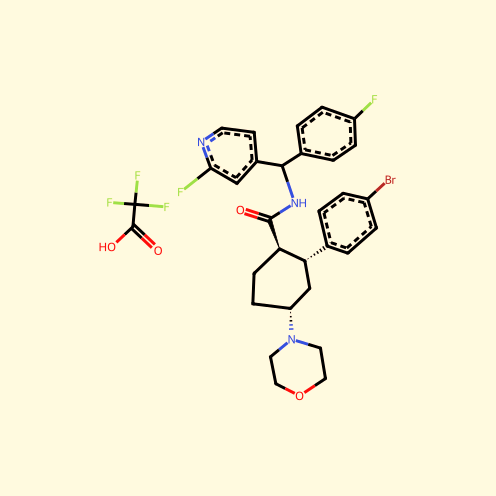 O=C(NC(c1ccc(F)cc1)c1ccnc(F)c1)[C@@H]1CC[C@@H](N2CCOCC2)C[C@H]1c1ccc(Br)cc1.O=C(O)C(F)(F)F